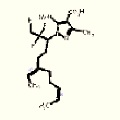 C/C=C\CC/C(=C\C)CCC(n1nc(C)c(C(=O)O)c1NC)C(F)(F)CF